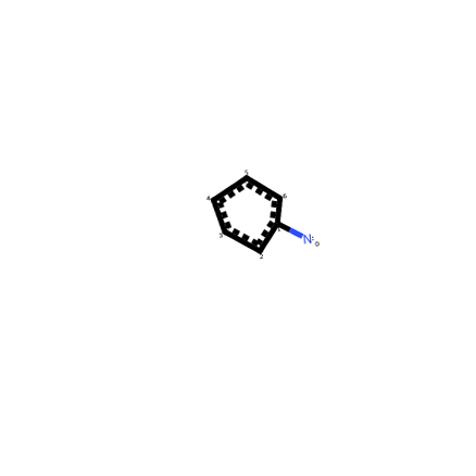 [N]c1ccccc1